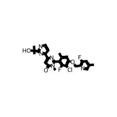 Cc1cnc(COc2cc(C)c(-c3nc(-c4ccnc(C(C)(C)O)n4)cc(=O)n3C)c(F)c2Cl)c(F)c1